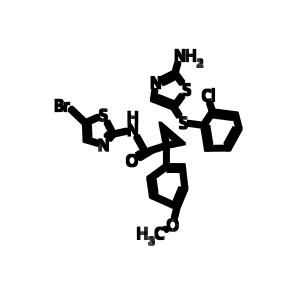 COc1ccc(C2(C(=O)Nc3ncc(Br)s3)CC2)cc1.Nc1ncc(Sc2ccccc2Cl)s1